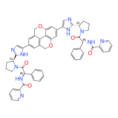 O=C(N[C@@H](C(=O)N1CCC[C@H]1c1ncc(-c2cc3c4c(c2)COc2cc(-c5cnc([C@@H]6CCCN6C(=O)[C@H](NC(=O)c6ccccn6)c6ccccc6)[nH]5)cc(c2-4)OC3)[nH]1)c1ccccc1)c1ccccn1